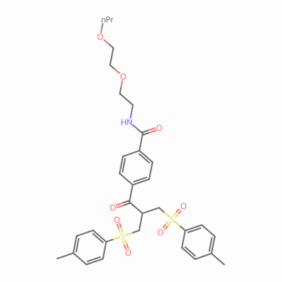 CCCOCCOCCNC(=O)c1ccc(C(=O)C(CS(=O)(=O)c2ccc(C)cc2)CS(=O)(=O)c2ccc(C)cc2)cc1